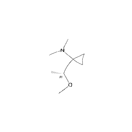 CO[C@H](C)C1(N(C)C)CC1